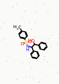 Cc1ccc(S(=O)(=O)NC(c2ccccc2)C(O)c2ccccc2)cc1